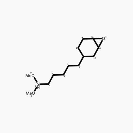 CO[SiH](CCCCCC1CCC2OC2C1)OC